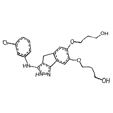 OCCCOc1cc2c(cc1OCCCO)-c1n[nH]c(Nc3cccc(Cl)c3)c1C2